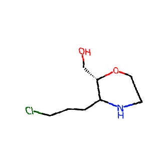 OC[C@@H]1OCCNC1CCCCl